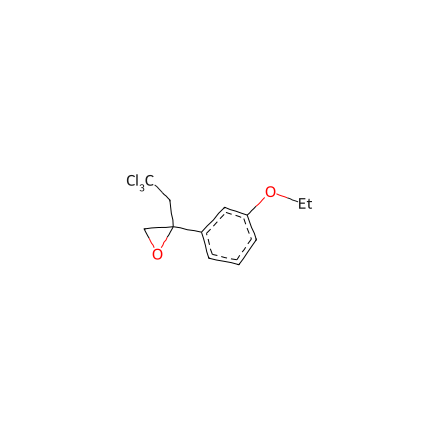 CCOc1cccc(C2(CC(Cl)(Cl)Cl)CO2)c1